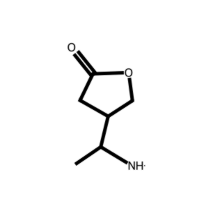 CC([NH])C1COC(=O)C1